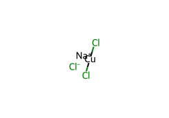 [Cl-].[Cl][Cu][Cl].[Na+]